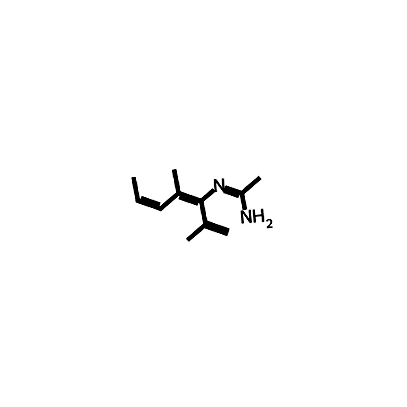 C=C(C)C(/N=C(/C)N)=C(C)\C=C/C